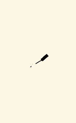 [C]#[C][Mg][Br]